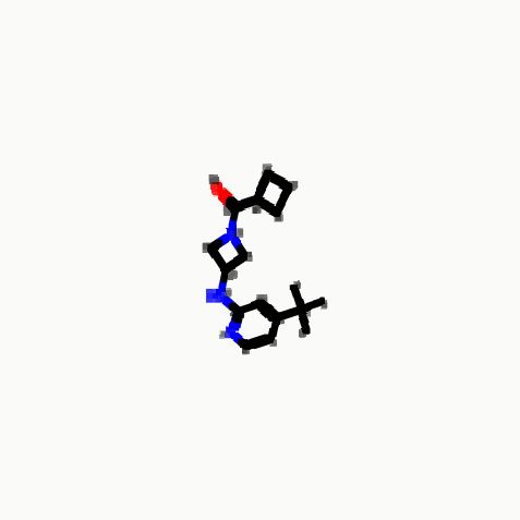 CC(C)(C)c1ccnc(NC2CN(C(=O)C3CCC3)C2)c1